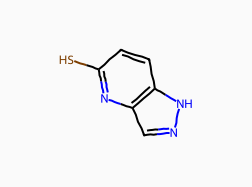 Sc1ccc2[nH]ncc2n1